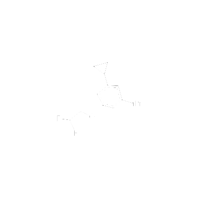 CC(C)c1cc(OCC(F)F)cc(C2CC2)c1